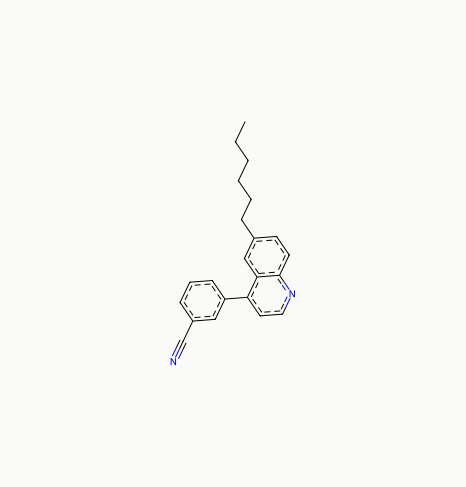 CCCCCCc1ccc2nccc(-c3cccc(C#N)c3)c2c1